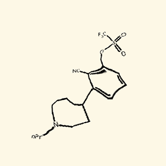 CCCN1CCC(c2cccc(OS(=O)(=O)C(F)(F)F)c2C#N)CC1